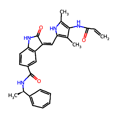 C=CC(=O)Nc1c(C)[nH]c(/C=C2\C(=O)Nc3ccc(C(=O)N[C@H](C)c4ccccc4)cc32)c1C